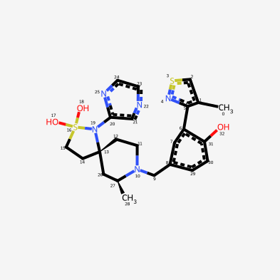 Cc1csnc1-c1cc(CN2CC[C@]3(CCS(O)(O)N3c3cnccn3)C[C@@H]2C)ccc1O